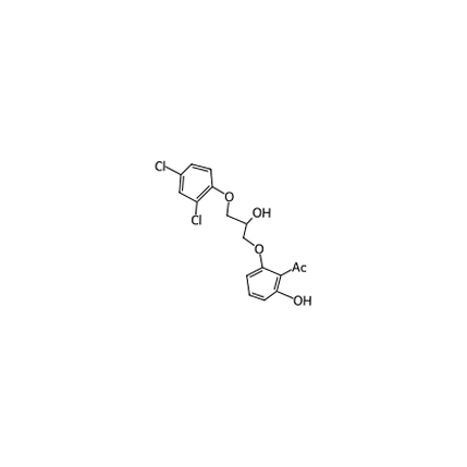 CC(=O)c1c(O)cccc1OCC(O)COc1ccc(Cl)cc1Cl